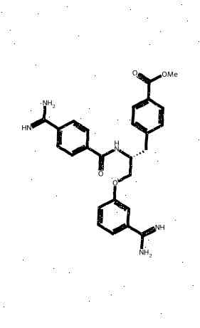 COC(=O)c1ccc(C[C@H](COc2cccc(C(=N)N)c2)NC(=O)c2ccc(C(=N)N)cc2)cc1